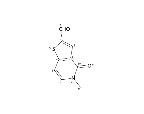 Cn1ccc2sc(C=O)cc2c1=O